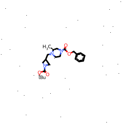 C[C@H]1CN(C(=O)OCc2ccccc2)CCN1CC1CN(C(=O)OC(C)(C)C)C1